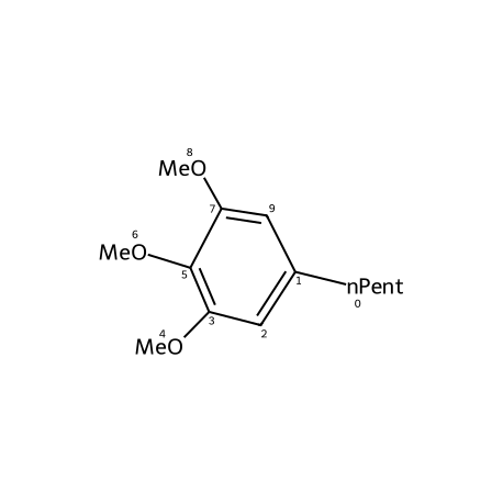 [CH2]CCCCc1cc(OC)c(OC)c(OC)c1